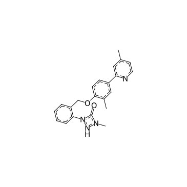 Cc1ccnc(-c2ccc(OCc3ccccc3-n3[nH]n(C)c3=O)c(C)c2)c1